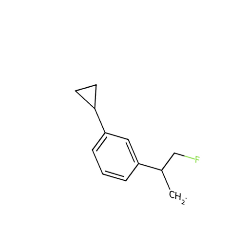 [CH2]C(CF)c1cccc(C2CC2)c1